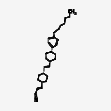 CCCCCCCc1ccc([C@H]2CC[C@H](C=C[C@H]3CC[C@H](C=CC#N)CC3)CC2)cc1